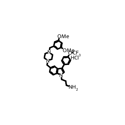 COc1cc(CN2CCN(Cc3ccc4c(c3)c(-c3ccc(OC(F)(F)F)cc3)cn4CCCN)CC2)cc(OC)c1.Cl